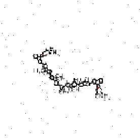 CCCCCCC1(CCCCCC)c2ccccc2-c2ccc(-c3ccc4c(c3)C(C)(C)c3cc(-c5ccc6c(c5)C(C)(C)c5cc(-c7cc(O)cc(-c8ccc9c(c8)C(C)(C)c8cc(-c%10ccc%11c(c%10)C(C)(C)c%10cc(-c%12ccc%13c(c%12)C(CCCCCC)(CCCCCC)c%12ccccc%12-%13)ccc%10-%11)ccc8-9)c7)ccc5-6)ccc3-4)cc21